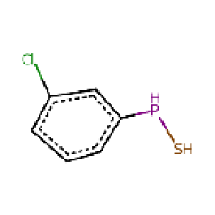 SPc1cccc(Cl)c1